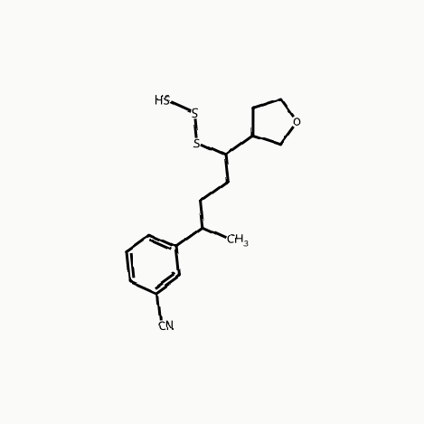 CC(CCC(SSS)C1CCOC1)c1cccc(C#N)c1